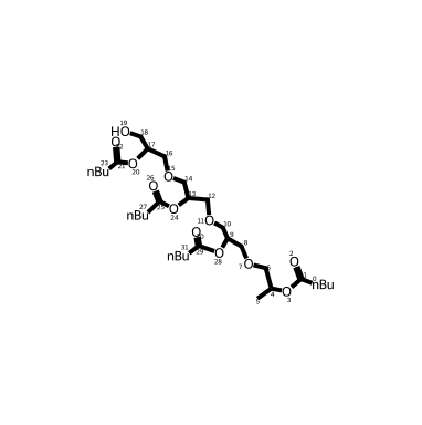 CCCCC(=O)OC(C)COCC(COCC(COCC(CO)OC(=O)CCCC)OC(=O)CCCC)OC(=O)CCCC